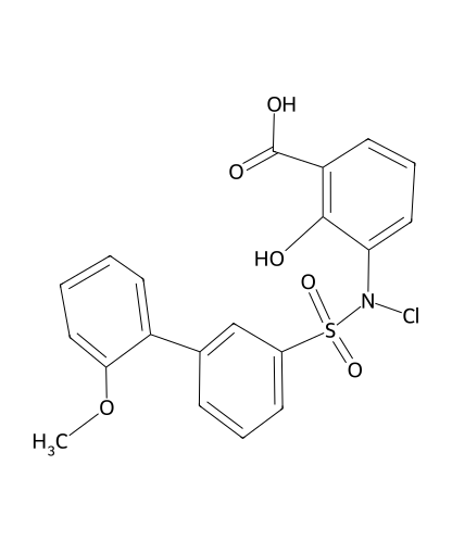 COc1ccccc1-c1cccc(S(=O)(=O)N(Cl)c2cccc(C(=O)O)c2O)c1